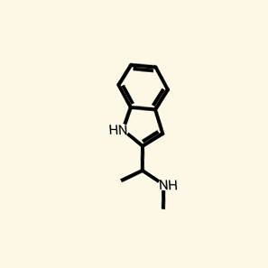 CNC(C)c1cc2ccccc2[nH]1